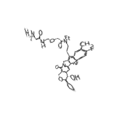 CCN(CCc1c2c(nc3cc(F)c(C)cc13)-c1cc3c(c(=O)n1C2)COC(=O)[C@H]3O)C(=O)COCNC(=O)CN